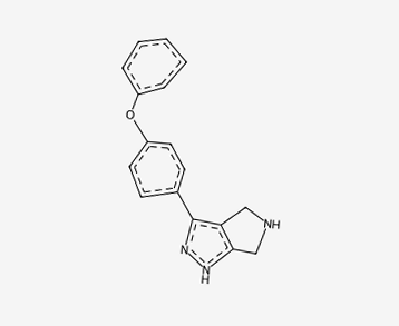 c1ccc(Oc2ccc(-c3n[nH]c4c3CNC4)cc2)cc1